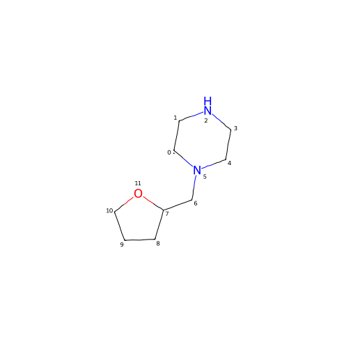 [CH]1CNCCN1CC1CCCO1